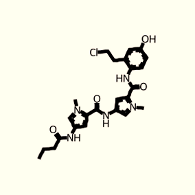 CCCC(=O)Nc1cc(C(=O)Nc2cc(C(=O)Nc3ccc(O)cc3CCCl)n(C)c2)n(C)c1